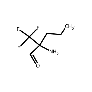 [CH2]CCC(N)(C=O)C(F)(F)F